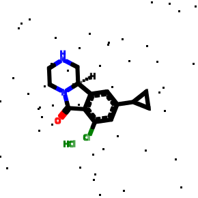 Cl.O=C1c2c(Cl)cc(C3CC3)cc2[C@@H]2CNCCN12